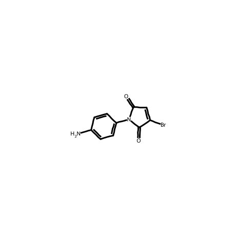 Nc1ccc(N2C(=O)C=C(Br)C2=O)cc1